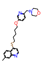 Cc1ccc2c(SCCCCCOc3ccc(CN4CCOCC4)nc3)ccnc2c1